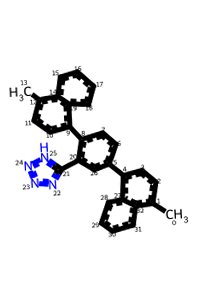 Cc1ccc(-c2ccc(-c3ccc(C)c4ccccc34)c(-c3nnn[nH]3)c2)c2ccccc12